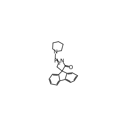 NC(=O)C1(CCCN2CCCCC2)c2ccccc2-c2ccccc21